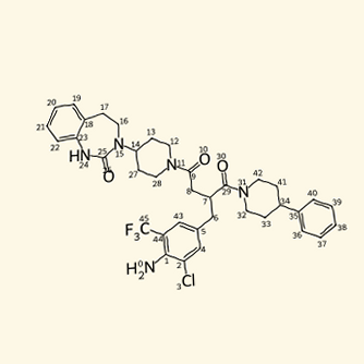 Nc1c(Cl)cc(CC(CC(=O)N2CCC(N3CCc4ccccc4NC3=O)CC2)C(=O)N2CCC(c3ccccc3)CC2)cc1C(F)(F)F